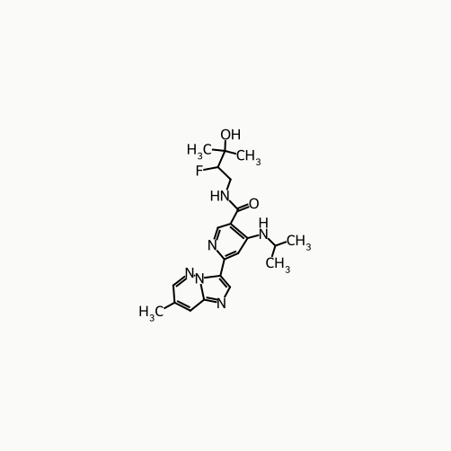 Cc1cnn2c(-c3cc(NC(C)C)c(C(=O)NCC(F)C(C)(C)O)cn3)cnc2c1